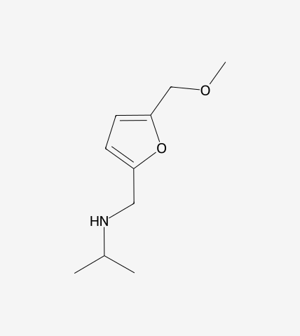 COCc1ccc(CNC(C)C)o1